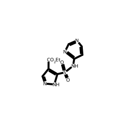 CCOC(=O)c1cn[nH]c1S(=O)(=O)Nc1ccncn1